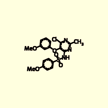 COc1ccc(S(=O)(=O)Nc2nc(C)nc(Cl)c2Oc2cccc(OC)c2)cc1